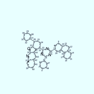 c1ccc(-c2nc(-c3ccc4ccc5ccccc5c4c3)nc(-c3ccc(-c4ccccc4)c4oc5nc6ccccc6cc5c34)n2)cc1